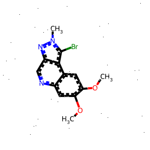 COc1cc2ncc3nn(C)c(Br)c3c2cc1OC